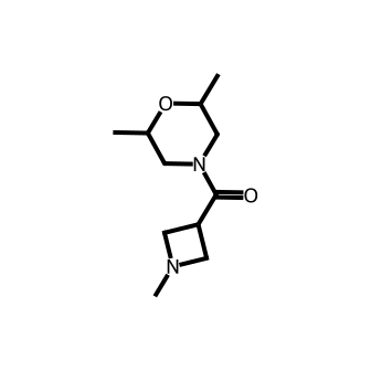 CC1CN(C(=O)C2CN(C)C2)CC(C)O1